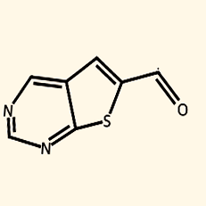 O=[C]c1cc2cncnc2s1